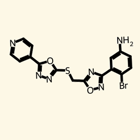 Nc1ccc(Br)c(-c2noc(CSc3nnc(-c4ccncc4)o3)n2)c1